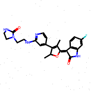 CC1=C(c2ccnc(NCCN3CCNC3=O)c2)C(C)OC1=C1C(=O)Nc2cc(F)ccc21